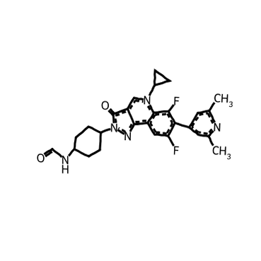 Cc1cc(-c2c(F)cc3c4nn(C5CCC(NC=O)CC5)c(=O)c-4cn(C4CC4)c3c2F)cc(C)n1